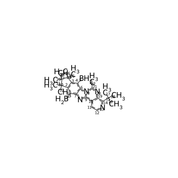 Bc1c2c(c(B)c3c1nc1c4ccnc(C(C)(C)C)c4nc(C)n13)C(C)(C)C(C)(C)C2(C)C